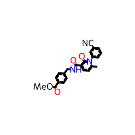 COC(=O)c1ccc(CNC(=O)c2ccc(C)n(-c3cccc(C#N)c3)c2=O)cc1